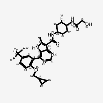 Cc1[nH]c2c(-c3cc(C(F)(F)F)ccc3OCC3CC3)ncnc2c1C(=O)NC1CCC(NC(=O)CO)C(F)C1